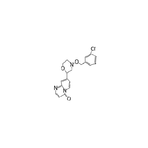 O=c1ccnc2cc(C3CN(OCc4cccc(Cl)c4)CCO3)ccn12